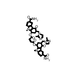 Cc1nccn1CC1CC(OC(=O)/C=C\C(=O)OC2CC(Cn3ccnc3C)C(=O)c3c2n(C)c2ccc(C(N)=O)cc32)c2c(c3cc(C(N)=O)ccc3n2C)C1=O